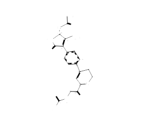 CC(=O)N[C@@H]1OC(=O)C(c2ccc(C3=CC(C(=O)COC(C)=O)NCC3)cc2)=C1C